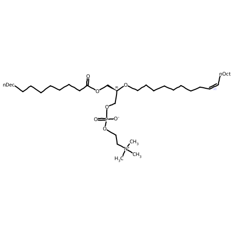 CCCCCCCC/C=C\CCCCCCCCO[C@H](COC(=O)CCCCCCCCCCCCCCCCC)COP(=O)([O-])OCC[N+](C)(C)C